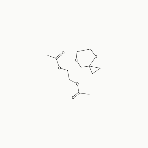 C1COC2(CC2)CO1.CC(=O)OCCOC(C)=O